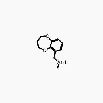 C[AsH]Cc1cccc2c1OCCCO2